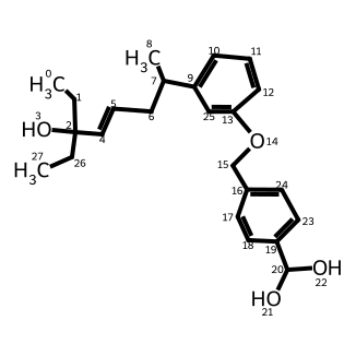 CCC(O)(C=CCC(C)c1cccc(OCc2ccc(C(O)O)cc2)c1)CC